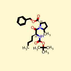 CCCC[C@H](NC(=O)OC(C)(C)C)C(=O)N1C(C)CC[C@H]1C(=O)OCc1ccccc1